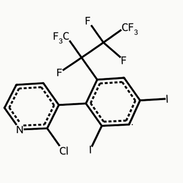 FC(F)(F)C(F)(F)C(F)(c1cc(I)[c]c(I)c1-c1cccnc1Cl)C(F)(F)F